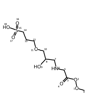 COOC(=O)CNCC(O)COCCCS(=O)(=O)O